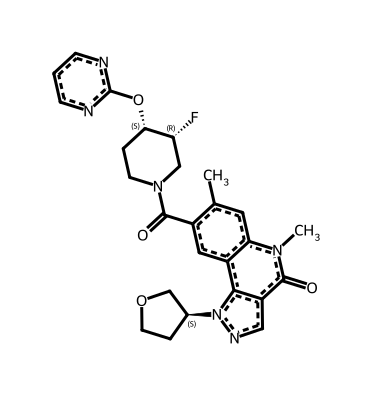 Cc1cc2c(cc1C(=O)N1CC[C@H](Oc3ncccn3)[C@H](F)C1)c1c(cnn1[C@H]1CCOC1)c(=O)n2C